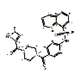 O=C(c1ccc(NS(=O)(=O)c2cccc3cccnc23)cc1)N1CCN(C(=O)c2cs[nH]2)CC1